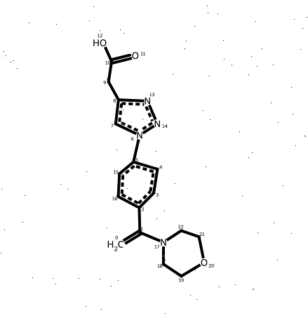 C=C(c1ccc(-n2cc(CC(=O)O)nn2)cc1)N1CCOCC1